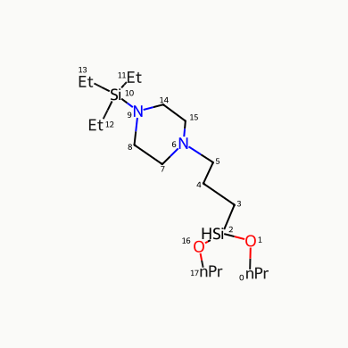 CCCO[SiH](CCCN1CCN([Si](CC)(CC)CC)CC1)OCCC